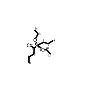 CCCC(Cl)[Si](CCC)(OCC)OCC